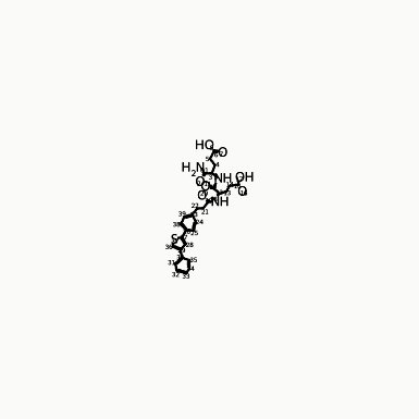 NC(=O)C(CCC(=O)O)NC(=O)C(CCC(=O)O)NC(=O)CCc1ccc(-c2cc(-c3ccccc3)cs2)cc1